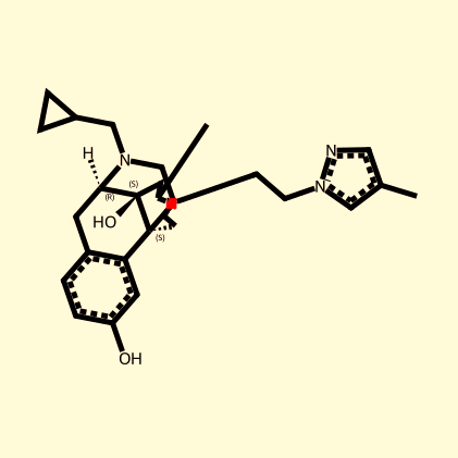 Cc1cnn(CCN2CC[C@]34CCN(CC5CC5)[C@H](Cc5ccc(O)cc53)[C@]4(O)CC2C)c1